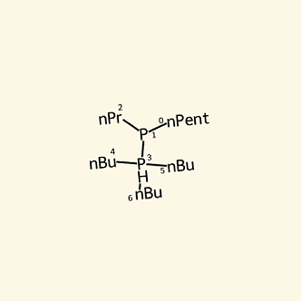 CCCCCP(CCC)[PH](CCCC)(CCCC)CCCC